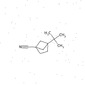 CC(C)(C)C12CCC(C#N)(C1)C2